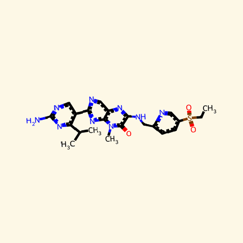 CCS(=O)(=O)c1ccc(CNc2nc3cnc(-c4cnc(N)nc4C(C)C)nc3n(C)c2=O)nc1